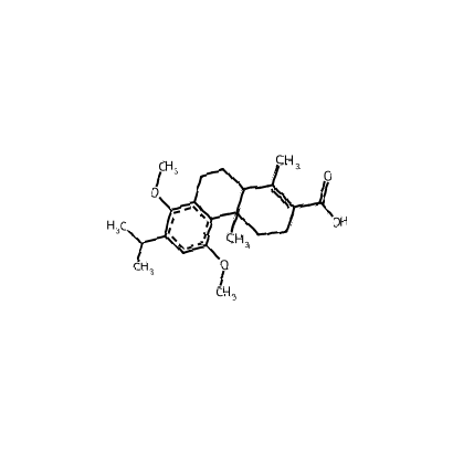 COc1cc(C(C)C)c(OC)c2c1C1(C)CCC(C(=O)O)=C(C)C1CC2